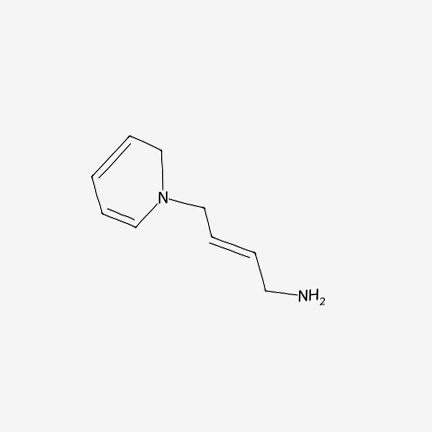 NCC=CCN1C=CC=CC1